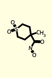 CC1(C(=O)N=O)CCS(=O)(=O)CC1